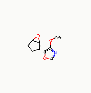 C1CC2OC2C1.CCCOc1cocn1